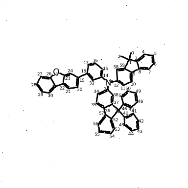 CC1(C)c2ccccc2-c2ccc(N(c3cccc(-c4ccc5c(c4)oc4ccccc45)c3)c3ccc4c(c3)C(c3ccccc3)(c3ccccc3)c3ccccc3-4)cc21